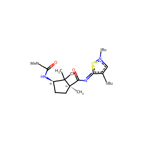 CCCCc1cn(C(C)(C)C)sc1=NC(=O)[C@@]1(C)CC[C@@H](NC(=O)NC)C1(C)C